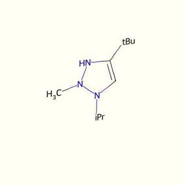 CC(C)N1C=C(C(C)(C)C)NN1C